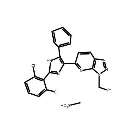 CC(C)Cn1nnc2ccc(-c3nc(-c4c(Cl)cccc4Cl)[nH]c3-c3ccccc3)nc21.CS(=O)(=O)O